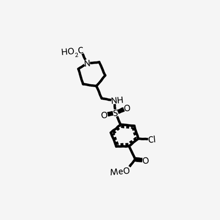 COC(=O)c1ccc(S(=O)(=O)NCC2CCN(C(=O)O)CC2)cc1Cl